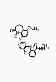 CNC(=O)c1ccccc1Nc1nc(Nc2ccc(OC)c3c2N(C)C(=O)CCC3)ncc1Cl